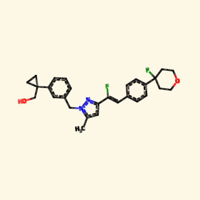 Cc1cc(C(F)=Cc2ccc(C3(F)CCOCC3)cc2)nn1Cc1cccc(C2(CO)CC2)c1